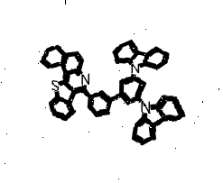 C1=Cc2c(ccc3nc(-c4cccc(-c5cc(-n6c7ccccc7c7ccccc76)cc(-n6c7ccccc7c7ccccc76)c5)c4)c4c5ccccc5sc4c23)CC1